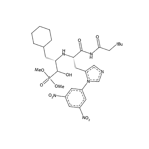 COP(=O)(OC)C(O)[C@H](CC1CCCCC1)N[C@@H](Cc1cncn1-c1cc([N+](=O)[O-])cc([N+](=O)[O-])c1)C(=O)NC(=O)CC(C)(C)C